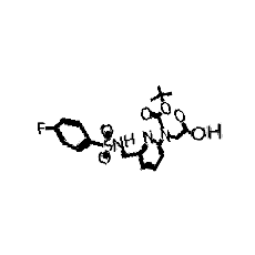 CC(C)(C)OC(=O)N(CC(=O)O)c1cccc(CNS(=O)(=O)c2ccc(F)cc2)n1